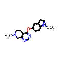 CN1CCc2c(ncnc2Oc2ccc3c(ccn3C(=O)O)c2)C1